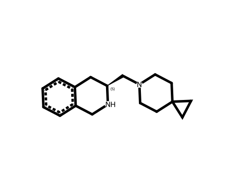 c1ccc2c(c1)CN[C@H](CN1CCC3(CC1)CC3)C2